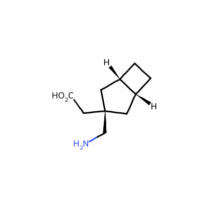 NC[C@]1(CC(=O)O)C[C@H]2CC[C@H]2C1